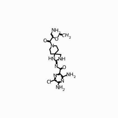 C=CO/C(=C\N)C(=O)N1CCC2(CC1)CN/C(=N\C(=O)c1nc(Cl)c(N)nc1N)N2